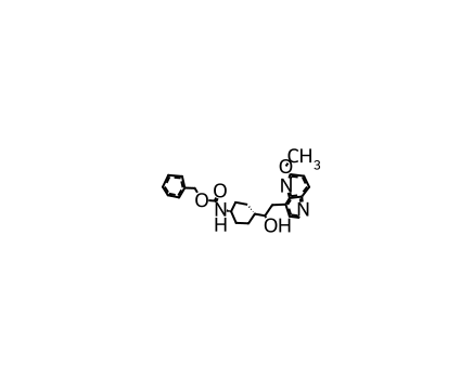 COc1ccc2nccc(C[C@@H](O)[C@H]3CC[C@H](NC(=O)OCc4ccccc4)CC3)c2n1